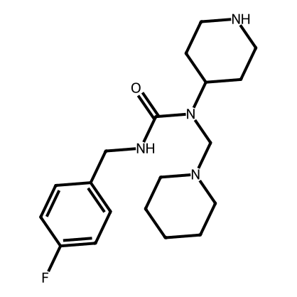 O=C(NCc1ccc(F)cc1)N(CN1CCCCC1)C1CCNCC1